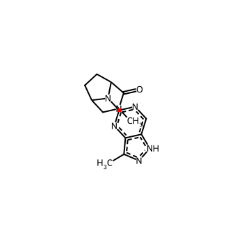 Cc1n[nH]c2cnc(N3C4CCC3C(=O)N(C)C4)nc12